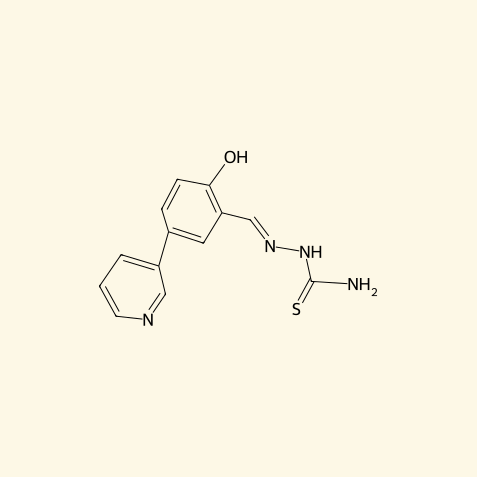 NC(=S)NN=Cc1cc(-c2cccnc2)ccc1O